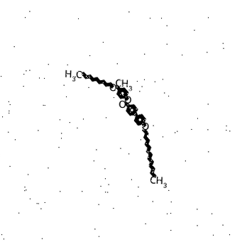 CCCCCCCCCCCCCCCOc1ccc(-c2ccc(C(=O)Oc3ccc(C(C)OCCCCCCCCCC)cc3)cc2)cc1